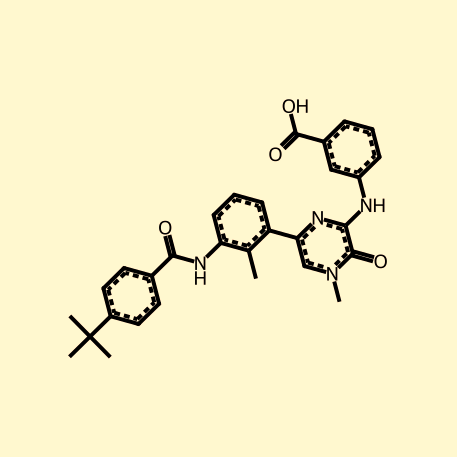 Cc1c(NC(=O)c2ccc(C(C)(C)C)cc2)cccc1-c1cn(C)c(=O)c(Nc2cccc(C(=O)O)c2)n1